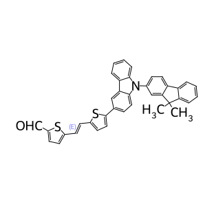 CC1(C)c2ccccc2-c2ccc(-n3c4ccccc4c4cc(-c5ccc(/C=C/c6ccc(C=O)s6)s5)ccc43)cc21